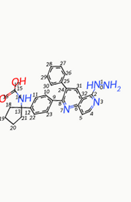 NNc1nccc2nc(-c3ccc(C4(NC(=O)O)CCCC4)cc3)c(-c3ccccc3)cc12